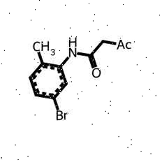 CC(=O)CC(=O)Nc1cc(Br)ccc1C